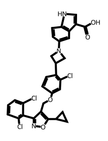 O=C(O)c1c[nH]c2ccc(N3CC(c4ccc(OCc5c(-c6c(Cl)cccc6Cl)noc5C5CC5)cc4Cl)C3)cc12